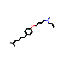 C=CCN(C)C/C=C/COc1ccc(CCCC=C(C)C)cc1